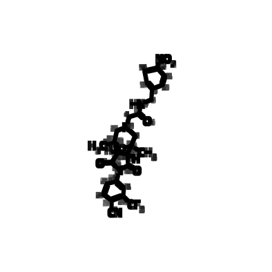 C[C@]12CN(CC(=O)NCc3ccc([N+](=O)[O-])cc3)C[C@](C)(O1)[C@H]1C(=O)N(c3ccc(C#N)c(C(F)(F)F)c3)C(=O)[C@H]12